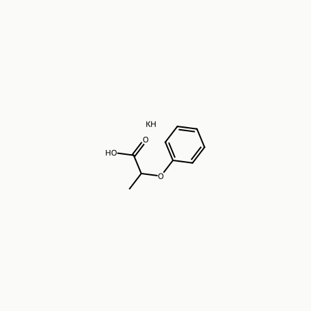 CC(Oc1ccccc1)C(=O)O.[KH]